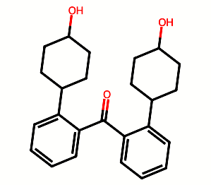 O=C(c1ccccc1C1CCC(O)CC1)c1ccccc1C1CCC(O)CC1